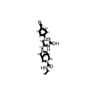 CCNC(=O)N1CC2CC(CN(C[C@H](COc3ccc(C#N)cc3)NC(=O)O)C2)C1